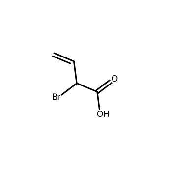 C=C[C](Br)C(=O)O